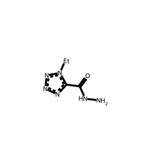 CCn1nnnc1C(=O)NN